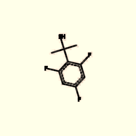 CC(C)(S)c1c(F)cc(F)cc1F